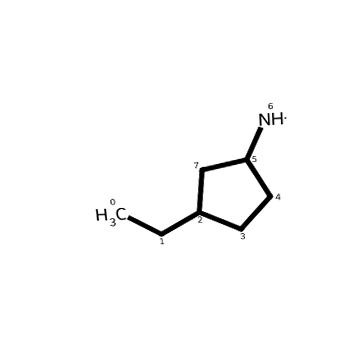 CCC1CCC([NH])C1